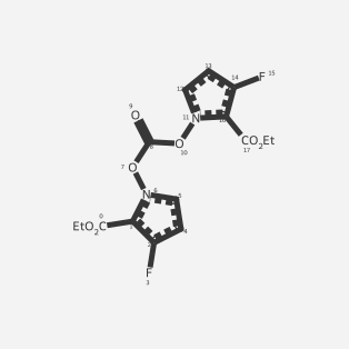 CCOC(=O)c1c(F)ccn1OC(=O)On1ccc(F)c1C(=O)OCC